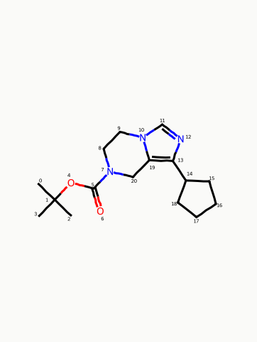 CC(C)(C)OC(=O)N1CCn2cnc(C3CCCC3)c2C1